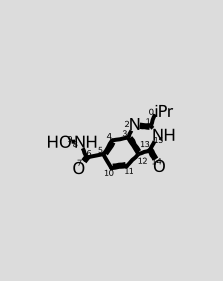 CC(C)c1nc2cc(C(=O)NO)ccc2c(=O)[nH]1